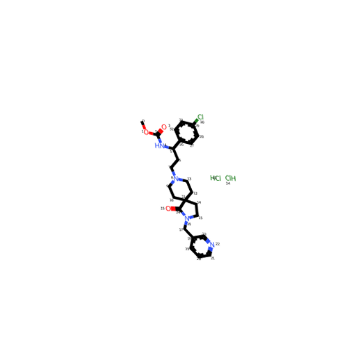 COC(=O)NC(CCN1CCC2(CC1)CCN(Cc1cccnc1)C2=O)c1ccc(Cl)cc1.Cl.Cl